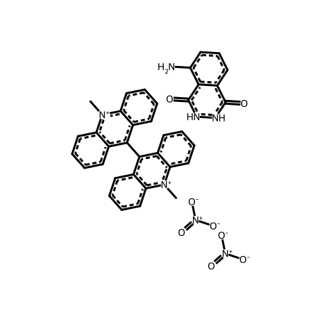 C[n+]1c2ccccc2c(-c2c3ccccc3[n+](C)c3ccccc23)c2ccccc21.Nc1cccc2c(=O)[nH][nH]c(=O)c12.O=[N+]([O-])[O-].O=[N+]([O-])[O-]